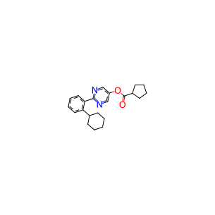 O=C(Oc1cnc(-c2ccccc2C2CCCCC2)nc1)C1CCCC1